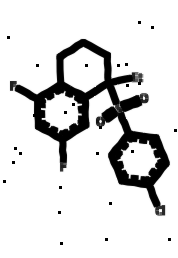 CCC1(S(=O)(=O)c2ccc(Cl)cc2)CCCc2c(F)cc(F)cc21